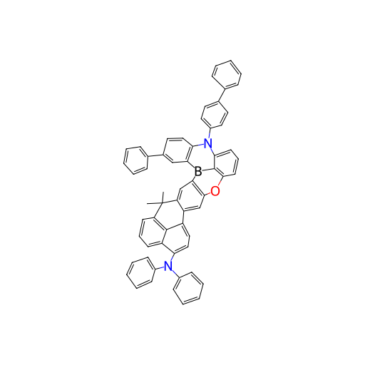 CC1(C)c2cc3c(cc2-c2ccc(N(c4ccccc4)c4ccccc4)c4cccc1c24)Oc1cccc2c1B3c1cc(-c3ccccc3)ccc1N2c1ccc(-c2ccccc2)cc1